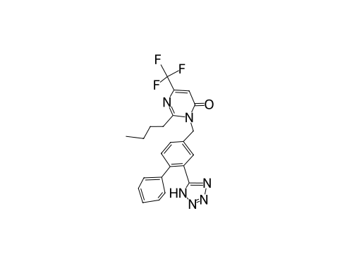 CCCCc1nc(C(F)(F)F)cc(=O)n1Cc1ccc(-c2ccccc2)c(-c2nnn[nH]2)c1